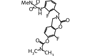 CNS(=O)(=O)Nc1cccc(CN2Cc3ccc(OC(=O)N(C)C)c(F)c3OC2=O)c1F